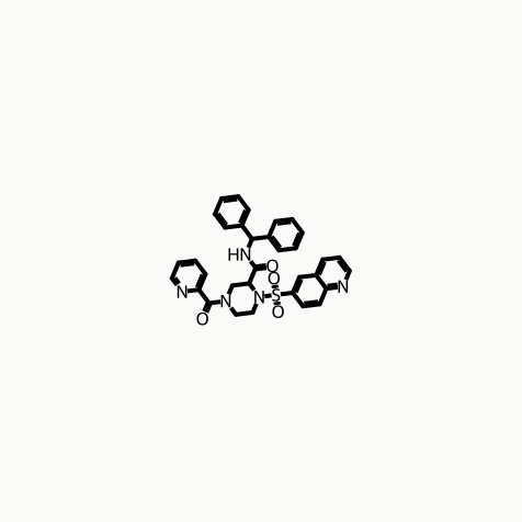 O=C(NC(c1ccccc1)c1ccccc1)C1CN(C(=O)c2ccccn2)CCN1S(=O)(=O)c1ccc2ncccc2c1